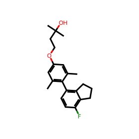 Cc1cc(OCCC(C)(C)O)cc(C)c1-c1ccc(F)c2c1CCC2